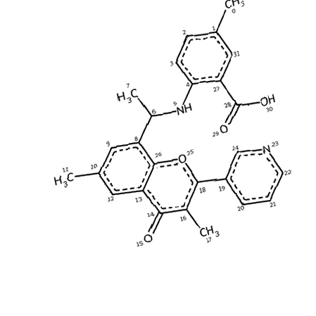 Cc1ccc(NC(C)c2cc(C)cc3c(=O)c(C)c(-c4cccnc4)oc23)c(C(=O)O)c1